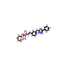 O=C(/C=C/c1cccc(Cc2nc(-c3ccccc3)c[nH]2)c1)NOC1CCCCO1